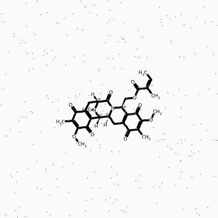 C/C=C(/C)C(=O)OC[C@H]1C2=C(C[C@H]3[C@@H]4C5=C(C[C@H](C(=O)N13)N4C)C(=O)C(C)=C(OC)C5=O)C(=O)C(C)=C(OC)C2=O